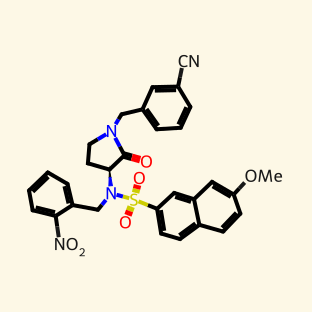 COc1ccc2ccc(S(=O)(=O)N(Cc3ccccc3[N+](=O)[O-])[C@H]3CCN(Cc4cccc(C#N)c4)C3=O)cc2c1